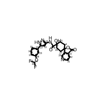 O=C1OC2(CCC(O)(C(=O)Nc3cc(-c4cccc(OC(F)F)c4)[nH]n3)CC2)c2cnccc21